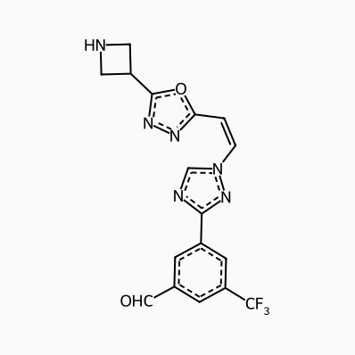 O=Cc1cc(-c2ncn(/C=C\c3nnc(C4CNC4)o3)n2)cc(C(F)(F)F)c1